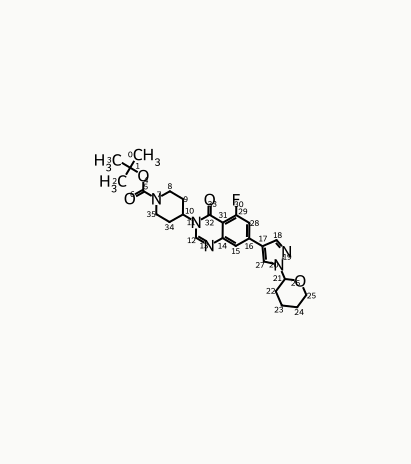 CC(C)(C)OC(=O)N1CCC(n2cnc3cc(-c4cnn(C5CCCCO5)c4)cc(F)c3c2=O)CC1